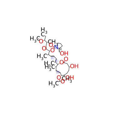 CCC(OC)C(C)C1OC1C(OC(=O)N1CCC[C@H]1CO)C(C)/C=C/C=C(\C)C1OC(=O)CC(O)CCC(C)(O)C(OC(C)=O)/C=C/C1C